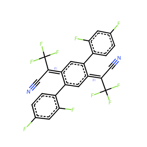 N#C/C(=c1/cc(-c2ccc(F)cc2F)/c(=C(\C#N)C(F)(F)F)cc1-c1ccc(F)cc1F)C(F)(F)F